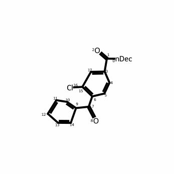 CCCCCCCCCCC(=O)c1ccc(C(=O)c2ccccc2)c(Cl)c1